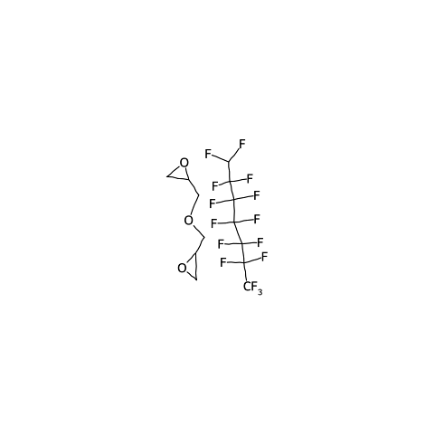 C(OCC1CO1)C1CO1.FC(F)C(F)(F)C(F)(F)C(F)(F)C(F)(F)C(F)(F)C(F)(F)F